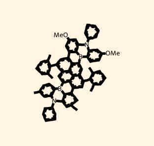 COc1ccc2c(c1)N(c1ccccc1)c1cc(OC)cc3c1B2c1cc2c(-c4c(C)cccc4C)cc4c5c(cc6c(-c7c(C)cccc7C)cc-3c1c6c25)B1c2ccc(C)cc2N(c2ccccc2)c2cc(C)cc-4c21